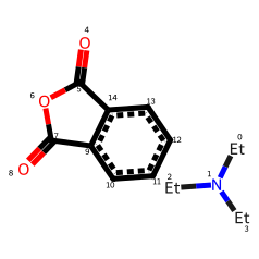 CCN(CC)CC.O=C1OC(=O)c2ccccc21